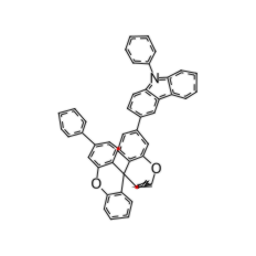 c1ccc(-c2ccc3c(c2)Oc2ccccc2C32c3ccccc3Oc3cc(-c4ccc5c(c4)c4ccccc4n5-c4ccccc4)ccc32)cc1